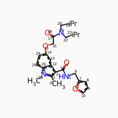 Cc1c(C(=O)NCc2ccco2)c2cc(OCC(=O)N(CC(C)C)CC(C)C)ccc2n1C